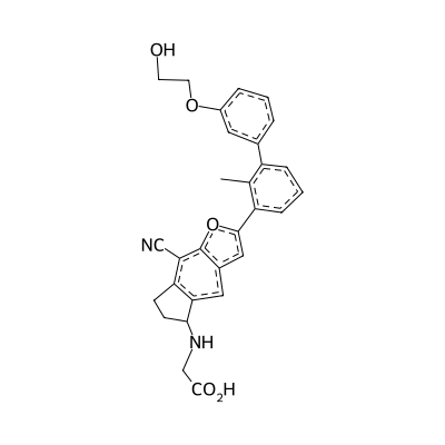 Cc1c(-c2cccc(OCCO)c2)cccc1-c1cc2cc3c(c(C#N)c2o1)CCC3NCC(=O)O